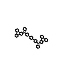 c1ccc(N(c2ccc(-c3ccc(-c4ccc(N(c5ccccc5)c5ccc6c7ccccc7c7ccccc7c6c5)cc4)cc3)cc2)c2ccc3c4ccccc4c4ccccc4c3c2)cc1